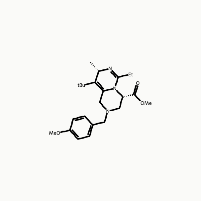 CCC1=N[C@@H](C)C(C(C)(C)C)=C2CN(Cc3ccc(OC)cc3)C[C@@H](C(=O)OC)N12